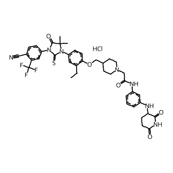 CCc1cc(N2C(=S)N(c3ccc(C#N)c(C(F)(F)F)c3)C(=O)C2(C)C)ccc1OCC1CCN(CC(=O)Nc2cccc(NC3CCC(=O)NC3=O)c2)CC1.Cl